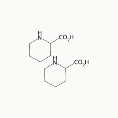 O=C(O)C1CCCCN1.O=C(O)C1CCCCN1